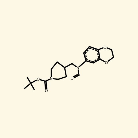 CC(C)(C)OC(=O)N1CCC(CN(C=O)c2ccc3c(c2)OCCO3)CC1